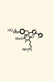 COC(=O)N(C)C(CCCN(C)C)C(=O)N[C@@H](Cc1ccc(NS(=O)(=O)O)cc1)c1csc(-c2cccs2)n1.N